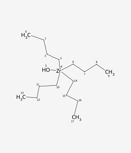 CCC[CH2][Zr]([OH])([CH2]CCC)([CH2]CCC)[CH2]CCC